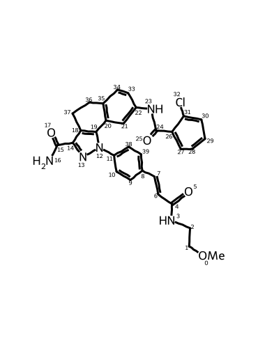 COCCNC(=O)C=Cc1ccc(-n2nc(C(N)=O)c3c2-c2cc(NC(=O)c4ccccc4Cl)ccc2CC3)cc1